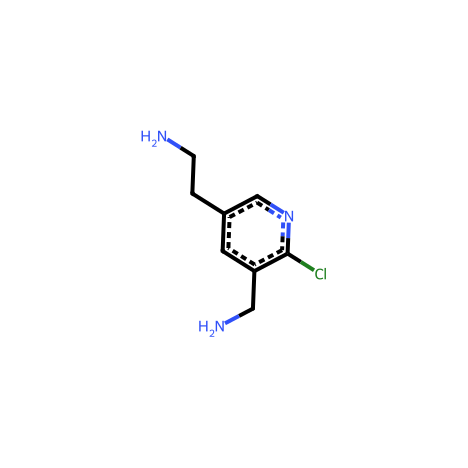 NCCc1cnc(Cl)c(CN)c1